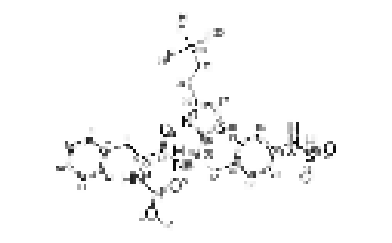 COC(=O)N[C@@H](Cc1ccccc1)C(=O)N[C@@H](Cc1ccc(N[SH](=O)=O)cc1)c1nc(CCC(F)(F)F)cs1